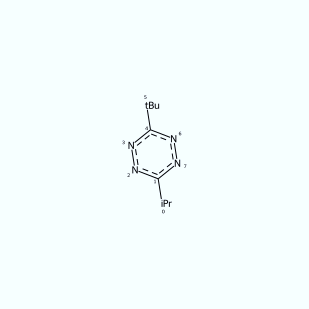 CC(C)c1nnc(C(C)(C)C)nn1